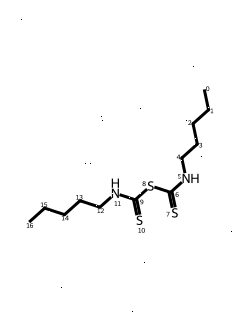 CCCCCNC(=S)SC(=S)NCCCCC